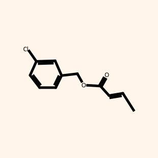 CC=CC(=O)OCc1cccc(Cl)c1